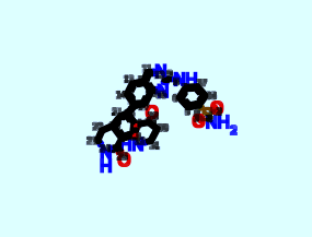 NS(=O)(=O)c1ccc(Nc2ncc3ccc(-c4ccc5c(c4)CCNC5=O)c(OC4CCNCC4)c3n2)cc1